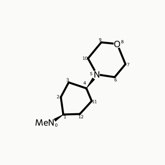 CN[C@H]1CC[C@@H](N2CCOCC2)CC1